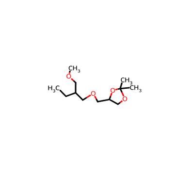 CCC(COC)COCC1COC(C)(C)O1